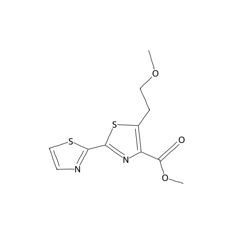 COCCc1sc(-c2nccs2)nc1C(=O)OC